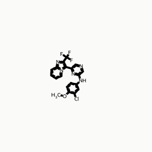 COc1ccc(Nc2cncc(-c3c(C(F)(F)F)nc4ccccn34)n2)cc1Cl